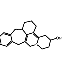 OC1CCN2CC3=C4C(=C2C1)CCCC4Cc1ccccc1C3